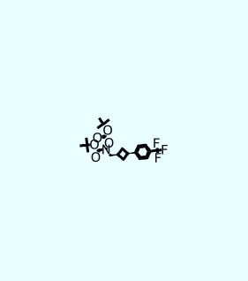 CC(C)(C)OC(=O)ON(C[C@H]1C[C@@H](c2ccc(C(F)(F)F)cc2)C1)C(=O)OC(C)(C)C